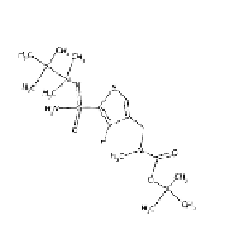 CN(Cc1csc(S(N)(=O)=N[Si](C)(C)C(C)(C)C)c1F)C(=O)OC(C)(C)C